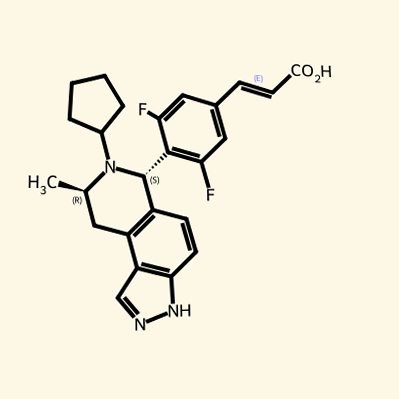 C[C@@H]1Cc2c(ccc3[nH]ncc23)[C@@H](c2c(F)cc(/C=C/C(=O)O)cc2F)N1C1CCCC1